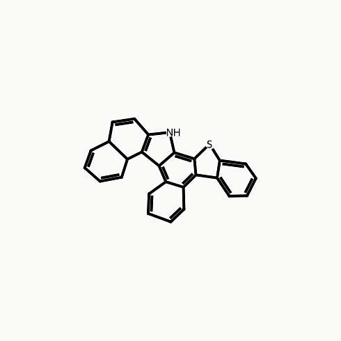 C1=CC2C=Cc3[nH]c4c5sc6ccccc6c5c5ccccc5c4c3C2C=C1